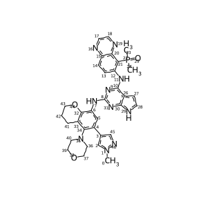 Cn1cc(-c2cc(Nc3nc(Nc4ccc5nccnc5c4P(C)(C)=O)c4cc[nH]c4n3)c3c(c2N2CCOCC2)CCCO3)cn1